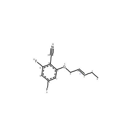 CC/C=C/COc1cc(F)cc(F)c1C#N